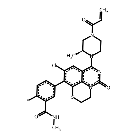 C=CC(=O)N1CCN(c2nc(=O)n3c4c(c(-c5ccc(F)c(C(=O)NC)c5)c(Cl)cc24)SCC3)[C@@H](C)C1